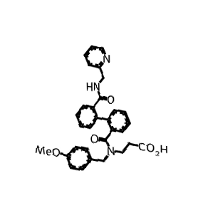 COc1ccc(CN(CCC(=O)O)C(=O)c2ccccc2-c2ccccc2C(=O)NCc2ccccn2)cc1